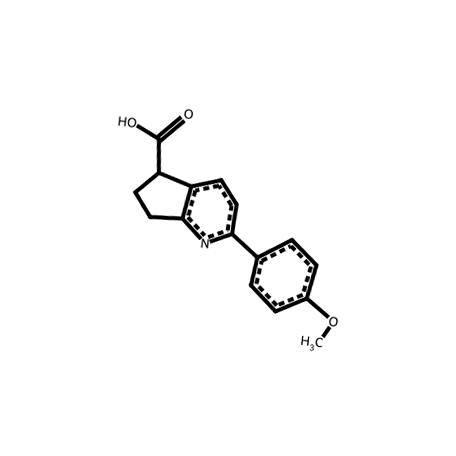 COc1ccc(-c2ccc3c(n2)CCC3C(=O)O)cc1